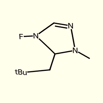 CN1N=CN(F)C1CC(C)(C)C